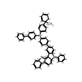 CC1(c2ccc(N(c3ccc(-c4ccccc4)cc3)c3ccc(-c4ccc5c(c4)c4c6sc7ccccc7c6ccc4n5-c4ccccc4)cc3)cc2)C=CC=CC1